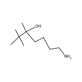 CC(C)(C)C(C)(O)CCCCN